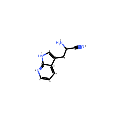 N#CC(N)Cc1c[nH]c2ncccc12